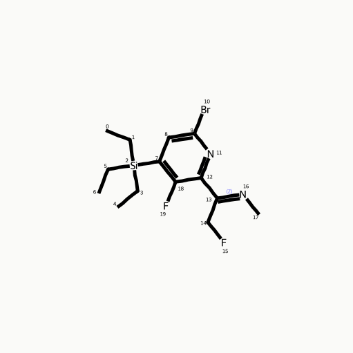 CC[Si](CC)(CC)c1cc(Br)nc(/C(CF)=N/C)c1F